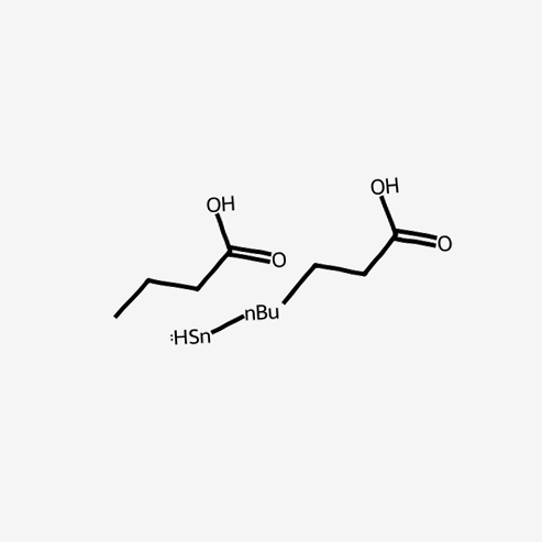 CCCC(=O)O.CCCC(=O)O.CCC[CH2][SnH]